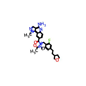 CC(=O)N(C)N(Cc1ccc(CCC2CCOC2)cc1F)C(=O)c1ccc2nc(N)c3cnn(C)c3c2c1